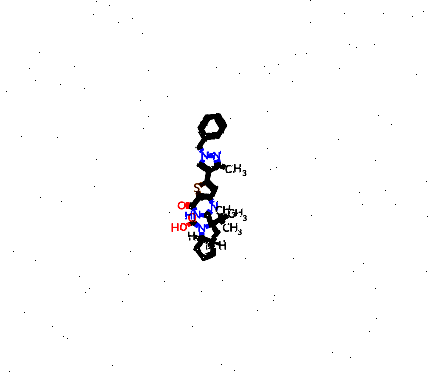 Cc1nn(Cc2ccccc2)cc1-c1cc2nc(C3(C(C)(C)C)C[C@@H]4CCC[C@@H]4N3C(=O)O)[nH]c(=O)c2s1